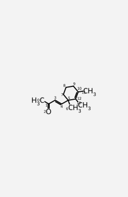 CC(=O)C=CC1(C)CCCC(C)=C1C